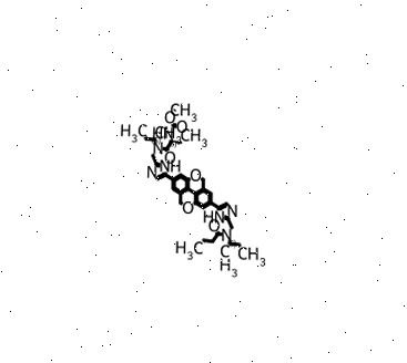 CCCC(=O)N(Cc1ncc(-c2cc3c4c(c2)OCc2cc(-c5cnc(CN(C(=O)[C@H](CC)NC(=O)OC)[C@@H](C)CC)[nH]5)cc(c2-4)OC3)[nH]1)[C@@H](C)CC